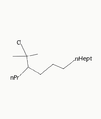 CCCCCCCCCCC(CCC)C(C)(C)Cl